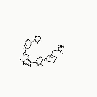 Cc1nc(-c2nnn(C)c2COc2cc(-n3cccn3)ccn2)ccc1N1CCC[C@H](CC(=O)O)C1